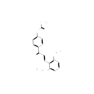 CCOc1cccc(OCC)c1C=CC(=O)c1ccc(OC(=O)C(C)(C)C)cc1